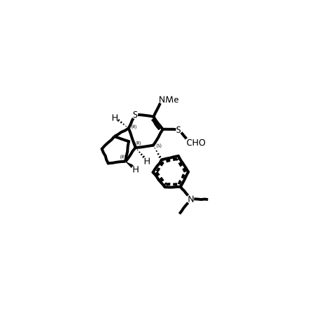 CNC1=C(SC=O)[C@H](c2ccc(N(C)C)cc2)[C@H]2[C@@H]3CCC(C3)[C@H]2S1